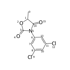 CC1OC(=O)N(c2cc(Cl)cc(Cl)c2)C1=O